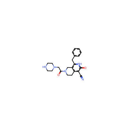 N#Cc1c2c(c(Cc3ccccc3)[nH]c1=O)CN(C(=O)CN1CCNCC1)CC2